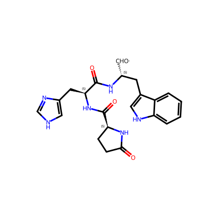 O=[C][C@H](Cc1c[nH]c2ccccc12)NC(=O)[C@H](Cc1c[nH]cn1)NC(=O)[C@@H]1CCC(=O)N1